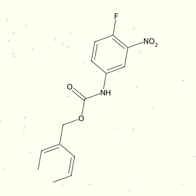 C/C=C\C(=C/C)COC(=O)Nc1ccc(F)c([N+](=O)[O-])c1